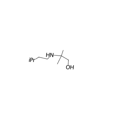 CC(C)CCNC(C)(C)CO